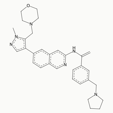 C=C(Nc1cc2cc(-c3cnn(C)c3CN3CCOCC3)ccc2cn1)c1cccc(CN2CCCC2)c1